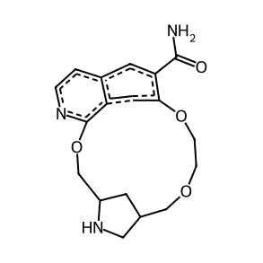 NC(=O)c1cc2ccnc3c2cc1OCCOCC1CNC(CO3)C1